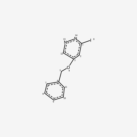 Ic1cc(OCc2ccccc2)cnn1